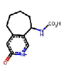 O=C(O)NC1CCCCc2cc(=O)[nH]cc21